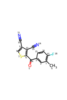 Cc1cc(C(=O)c2scc(C#N)c2C#N)ccc1F